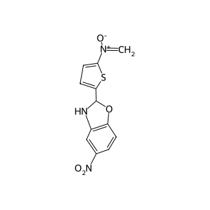 C=[N+]([O-])c1ccc(C2Nc3cc([N+](=O)[O-])ccc3O2)s1